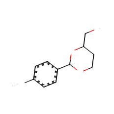 COc1ccc(C2OCCC(CO)O2)cc1